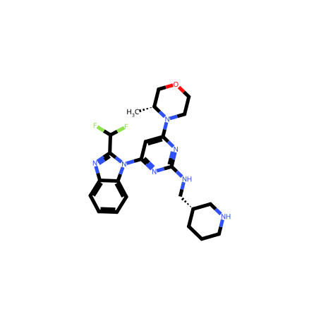 C[C@@H]1COCCN1c1cc(-n2c(C(F)F)nc3ccccc32)nc(NC[C@H]2CCCNC2)n1